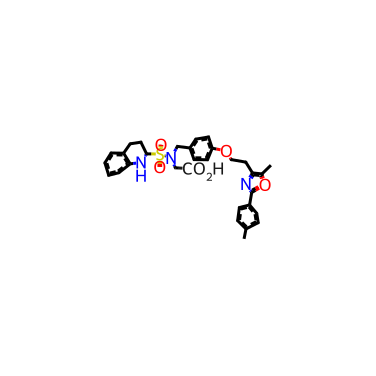 Cc1ccc(-c2nc(CCOc3ccc(CN(CC(=O)O)S(=O)(=O)C4CCc5ccccc5N4)cc3)c(C)o2)cc1